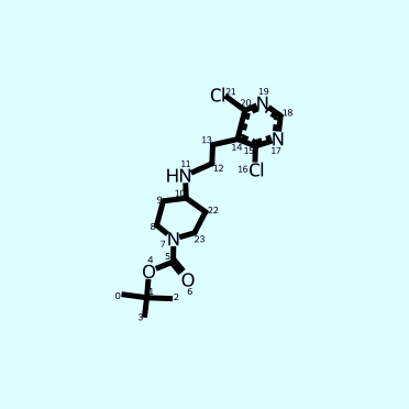 CC(C)(C)OC(=O)N1CCC(NCCc2c(Cl)ncnc2Cl)CC1